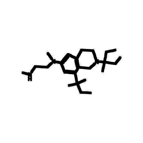 CCC(C)(C)c1cc(N(C)CCNC)cc2c1CN(C(C)(CC)CC)CC2